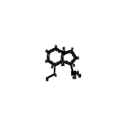 CCc1cccn2ccc(N)c12